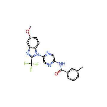 COc1ccc2c(c1)nc(C(F)(F)F)n2-c1cnc(NC(=O)c2cccc(C)c2)cn1